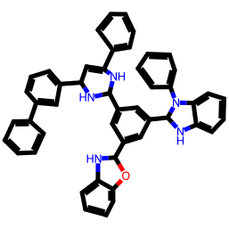 C1=C(c2ccccc2)NC(c2cc(C3Nc4ccccc4O3)cc(C3Nc4ccccc4N3c3ccccc3)c2)NC1c1cccc(-c2ccccc2)c1